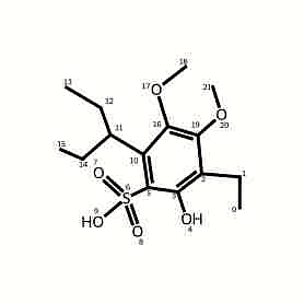 CCc1c(O)c(S(=O)(=O)O)c(C(CC)CC)c(OC)c1OC